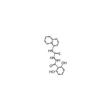 O=C(NNC(=S)Nc1cccc2ccccc12)c1c(O)cccc1O